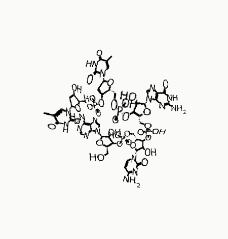 Cc1cn([C@H]2CC(O)[C@@H](COP(=O)(O)OC3C[C@H](n4cc(C)c(=O)[nH]c4=O)O[C@@H]3COP(=O)(O)OC3C(O)[C@H](n4cnc5c(=O)[nH]c(N)nc54)O[C@@H]3COP(=O)(O)OC3C(O)[C@H](n4ccc(N)nc4=O)O[C@@H]3COP(=O)(O)OC3C(O)[C@H](n4cnc5c(N)ncnc54)O[C@@H]3CO)O2)c(=O)[nH]c1=O